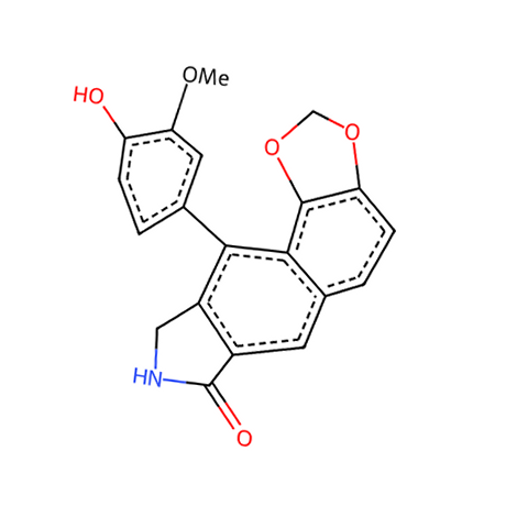 COc1cc(-c2c3c(cc4ccc5c(c24)OCO5)C(=O)NC3)ccc1O